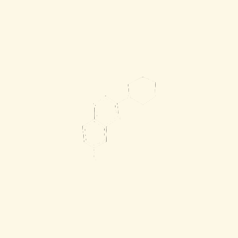 Brc1ccc2ncc(N3CCCCC3)nc2c1